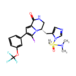 CN(C)[SH](C)(=O)n1cncc1C[C@H]1CNC(=O)c2cc(-c3cccc(OC(F)(F)F)c3)c(I)n21